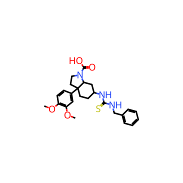 COc1ccc(C23CCC(NC(=S)NCc4ccccc4)CC2N(C(=O)O)CC3)cc1OC